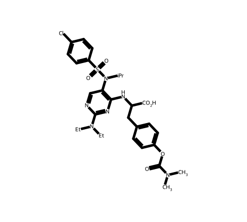 CCN(CC)c1ncc(N(C(C)C)S(=O)(=O)c2ccc(Cl)cc2)c(NC(Cc2ccc(OC(=O)N(C)C)cc2)C(=O)O)n1